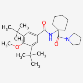 COc1c(C(C)(C)C)cc(C(=O)NC2(C(=O)N3CCCC3)CCCCC2)cc1C(C)(C)C